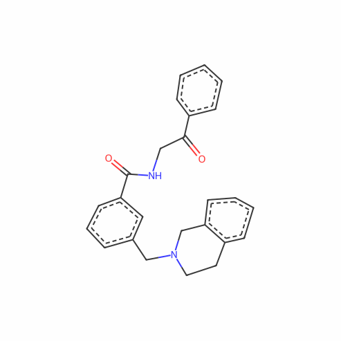 O=C(CNC(=O)c1cccc(CN2CCc3ccccc3C2)c1)c1ccccc1